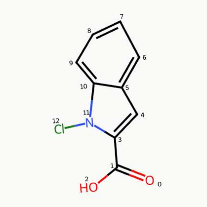 O=C(O)c1cc2ccccc2n1Cl